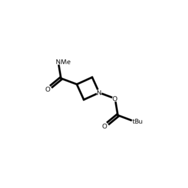 CNC(=O)C1CN(OC(=O)C(C)(C)C)C1